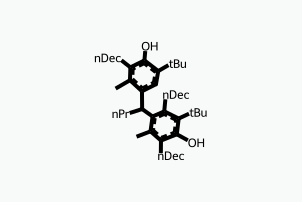 CCCCCCCCCCc1c(C)c(C(CCC)c2c(C)c(CCCCCCCCCC)c(O)c(C(C)(C)C)c2CCCCCCCCCC)cc(C(C)(C)C)c1O